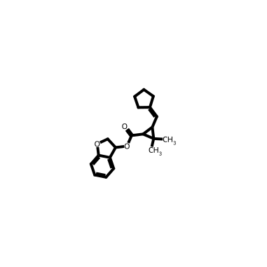 CC1(C)C(C=C2CCCC2)C1C(=O)OC1COc2ccccc21